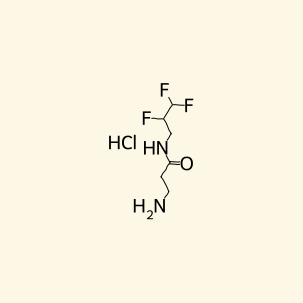 Cl.NCCC(=O)NCC(F)C(F)F